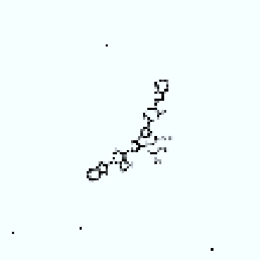 C=C1CC(c2cc3c(s2)-c2sc(-c4ncc(-c5cc6ccccc6s5)c5nsnc45)cc2C3(CC(CC)CCCC)CC(CC)CCCC)=NC=C1c1cc2ccccc2s1